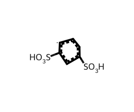 O=S(=O)(O)c1[c]ccc(S(=O)(=O)O)c1